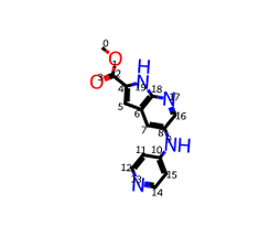 COC(=O)c1cc2cc(Nc3ccncc3)cnc2[nH]1